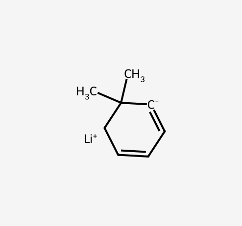 CC1(C)[C-]=CC=CC1.[Li+]